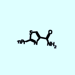 CC[CH]c1nc(C(N)=O)cs1